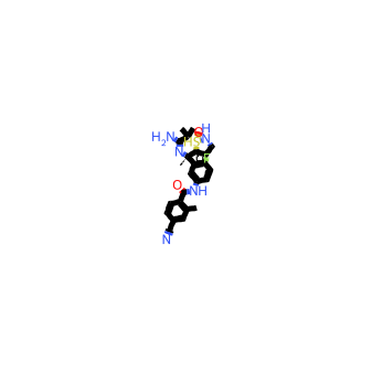 Cc1cc(C#N)ccc1C(=O)Nc1ccc(F)c([C@@]2(C)N=C(N)C(C)(C)[SH]3(=O)NCC[C@@H]23)c1